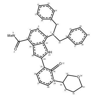 CNC(=O)c1cnc(N(Cc2ccccc2)Cc2ccccc2)c2[nH]c(-c3cccn(C4CCCOC4)c3=O)cc12